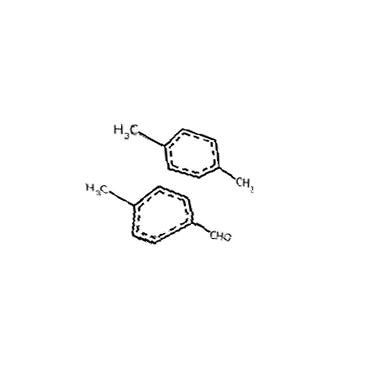 Cc1ccc(C)cc1.Cc1ccc(C=O)cc1